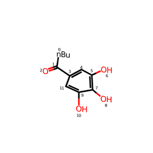 CCCCC(=O)c1cc(O)c(O)c(O)c1